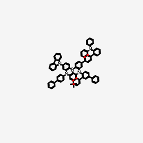 CC(C)(C)c1cc2c3c(c1)N(c1ccc(-c4ccccc4)cc1-c1ccccc1)c1cc(-c4ccc(-c5ccccc5N(c5ccccc5)c5ccccc5)cc4)ccc1B3c1ccc(-n3c4ccccc4c4ccccc43)cc1N2c1ccc(-c2ccccc2)cc1